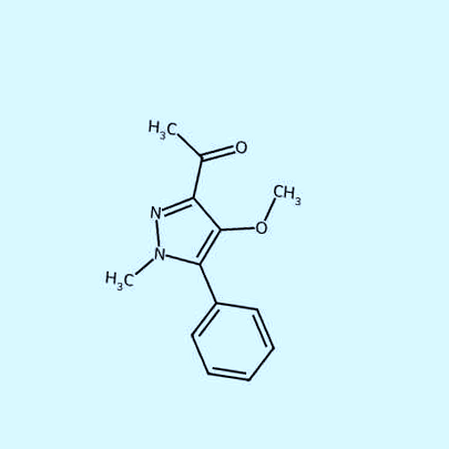 COc1c(C(C)=O)nn(C)c1-c1ccccc1